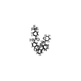 Cc1ccc(NC(=O)c2ccc(C(F)(F)F)cc2)cc1Nc1ncccc1-c1ncnc2c1ncn2C1CCCCO1